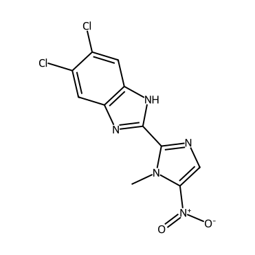 Cn1c([N+](=O)[O-])cnc1-c1nc2cc(Cl)c(Cl)cc2[nH]1